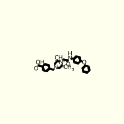 C[C@@H]1CN(Cc2ccc(C(=O)O)cc2)C[C@H](C)N1CC(=O)Nc1ccc(Oc2ccccc2)cc1